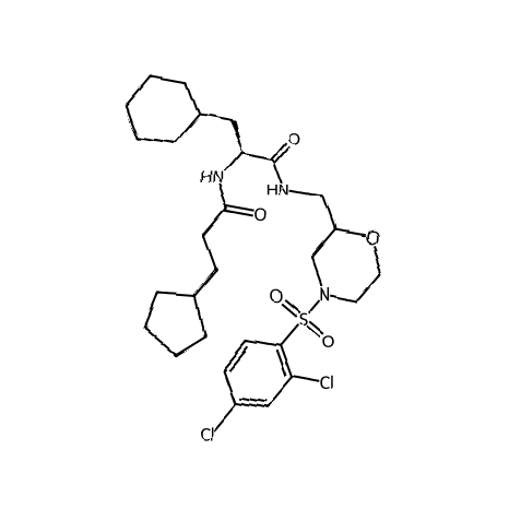 O=C(CCC1CCCC1)N[C@@H](CC1CCCCC1)C(=O)NCC1CN(S(=O)(=O)c2ccc(Cl)cc2Cl)CCO1